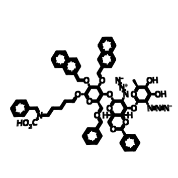 C[C@@H]1O[C@@H](O[C@@H]2[C@@H](N=[N+]=[N-])[C@@H](O[C@@H]3[C@H](OCc4ccc5ccccc5c4)[C@@H](OCc4ccc5ccccc5c4)[C@@H](OCCCCCN(Cc4ccccc4)C(=O)O)O[C@@H]3COCc3ccccc3)O[C@@H]3CO[C@H](c4ccccc4)O[C@H]23)[C@@H](N=[N+]=[N-])[C@H](O)[C@@H]1O